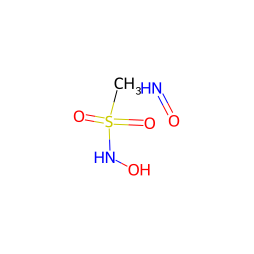 CS(=O)(=O)NO.N=O